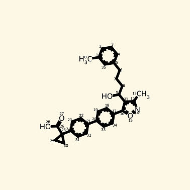 Cc1cccc(CCCC(O)c2c(C)noc2-c2ccc(-c3ccc(C4(C(=O)O)CC4)cc3)cc2)c1